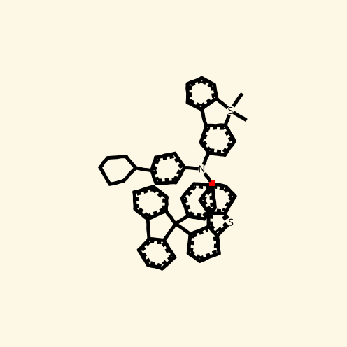 CS1(C)c2ccccc2-c2cc(N(c3ccc(C4CCCCC4)cc3)c3ccc4sc5cccc(C6(c7ccccc7)c7ccccc7-c7ccccc76)c5c4c3)ccc21